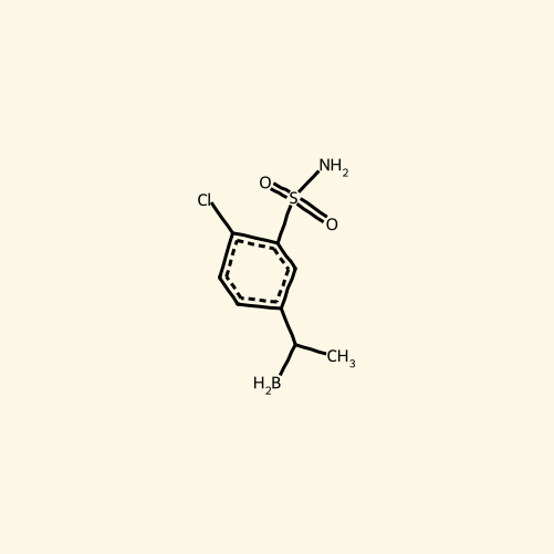 BC(C)c1ccc(Cl)c(S(N)(=O)=O)c1